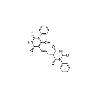 O=C1NC(=O)N(c2ccccc2)C(=O)C1=CC=Cc1c(O)n(-c2ccccc2)c(=O)[nH]c1=O